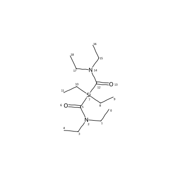 CCN(CC)C(=O)[Si](CC)(CC)C(=O)N(CC)CC